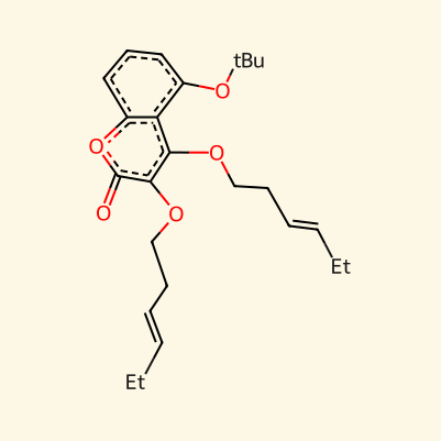 CCC=CCCOc1c(OCCC=CCC)c2c(OC(C)(C)C)cccc2oc1=O